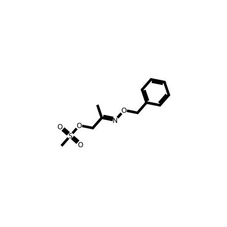 C/C(COS(C)(=O)=O)=N\OCc1ccccc1